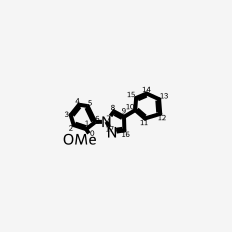 COc1ccccc1-n1cc(-c2ccccc2)cn1